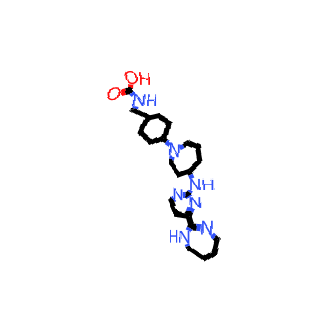 O=C(O)NCC1CCC(N2CCCC(Nc3nccc(C4=NCCCCN4)n3)CC2)CC1